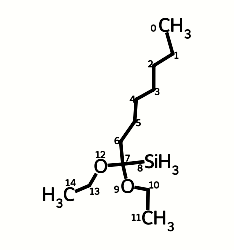 CCCCCCCC([SiH3])(OCC)OCC